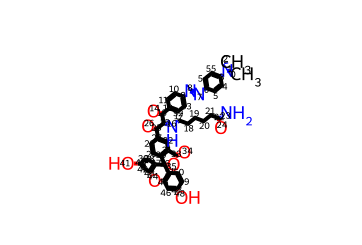 CN(C)c1ccc(N=Nc2ccc(C(=O)C(NCCCCCC(N)=O)C(=O)c3ccc4c(c3)C(=O)OC43c4ccc(O)cc4Oc4cc(O)ccc43)cc2)cc1